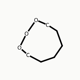 C1CCCOOOCC1